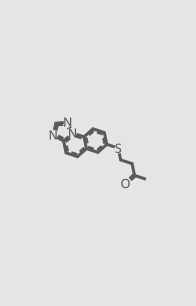 CC(=O)CCSc1ccc2c(ccc3ncnn32)c1